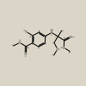 COCC(C)(Nc1ccc(C(=O)OC)c(F)c1)C(=O)OC